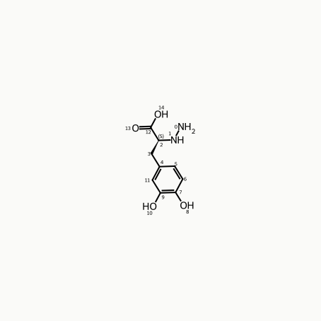 NN[C@@H](Cc1ccc(O)c(O)c1)C(=O)O